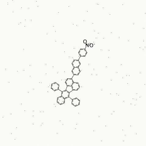 O=[N+]([O-])c1ccc(-c2ccc3cc(-c4ccc5c6c(cccc46)-c4c-5c(-c5ccccc5)c5ccccc5c4-c4ccccc4)ccc3c2)cc1